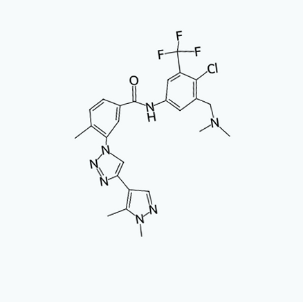 Cc1ccc(C(=O)Nc2cc(CN(C)C)c(Cl)c(C(F)(F)F)c2)cc1-n1cc(-c2cnn(C)c2C)nn1